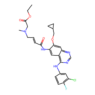 CCOC(=O)CN(C)CC=CC(=O)Nc1cc2c(Nc3ccc(F)c(Cl)c3)ncnc2cc1OCC1CC1